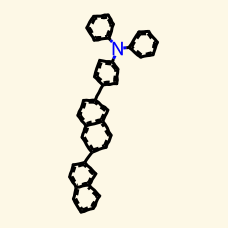 c1ccc(N(c2ccccc2)c2ccc(-c3ccc4cc(-c5ccc6ccccc6c5)ccc4c3)cc2)cc1